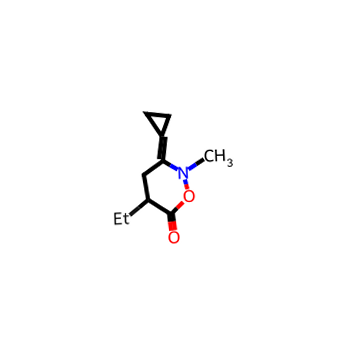 CCC1CC(=C2CC2)N(C)OC1=O